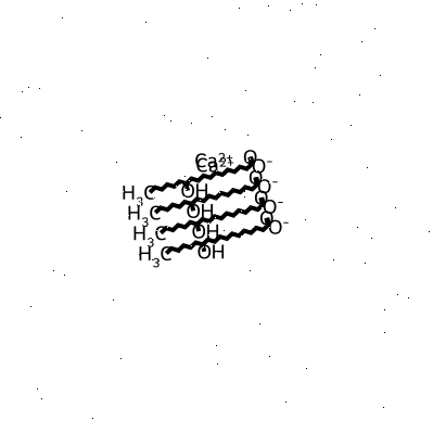 CCCCCCC(O)CCCCCCCCCCC(=O)[O-].CCCCCCC(O)CCCCCCCCCCC(=O)[O-].CCCCCCC(O)CCCCCCCCCCC(=O)[O-].CCCCCCC(O)CCCCCCCCCCC(=O)[O-].[Ca+2].[Ca+2]